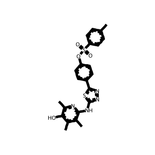 Cc1ccc(S(=O)(=O)Oc2ccc(-c3nnc(Nc4nc(C)c(O)c(C)c4C)s3)cc2)cc1